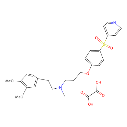 COc1ccc(CCN(C)CCCOc2ccc(S(=O)(=O)c3ccncc3)cc2)cc1OC.O=C(O)C(=O)O